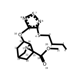 CCCCSc1nsnc1OC1CC2CCC1N(C(=O)OC)C2